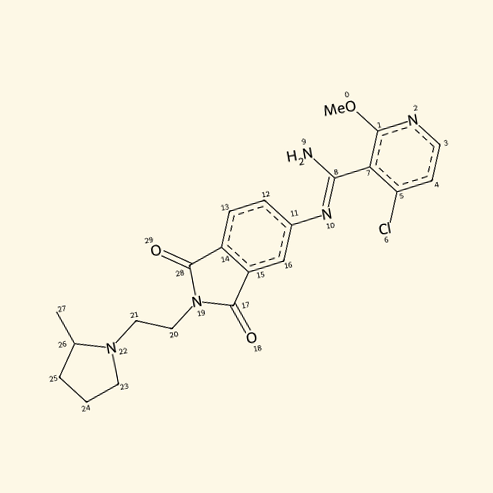 COc1nccc(Cl)c1/C(N)=N/c1ccc2c(c1)C(=O)N(CCN1CCCC1C)C2=O